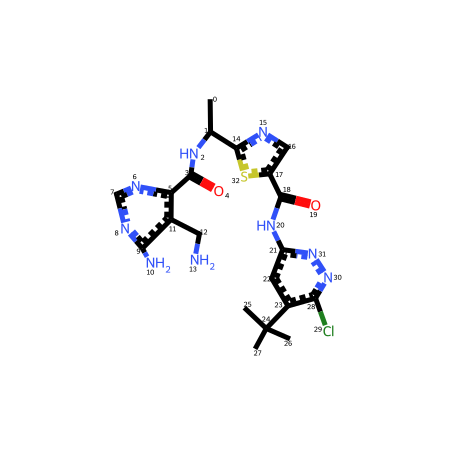 CC(NC(=O)c1ncnc(N)c1CN)c1ncc(C(=O)Nc2cc(C(C)(C)C)c(Cl)nn2)s1